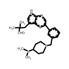 CN(C)C1CCN(Cc2cccc(-c3cnc4[nH]cc(CC(C)(C)C=O)c4n3)c2)CC1